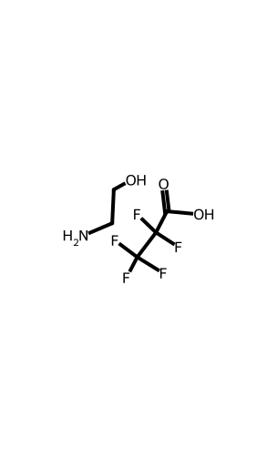 NCCO.O=C(O)C(F)(F)C(F)(F)F